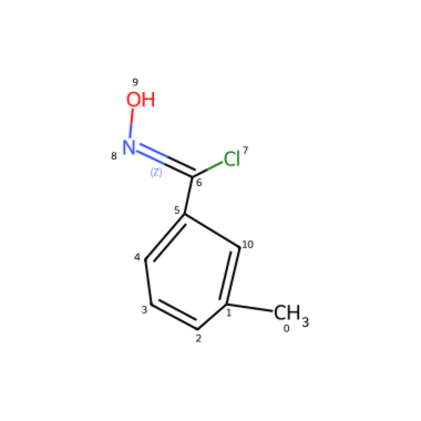 Cc1cccc(/C(Cl)=N/O)c1